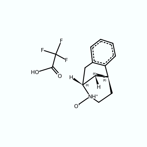 O=C(O)C(F)(F)F.[O-][NH+]1CC[C@]23CCCC[C@H]2[C@H]1Cc1ccccc13